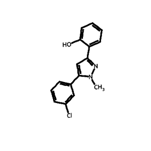 Cn1nc(-c2ccccc2O)cc1-c1cccc(Cl)c1